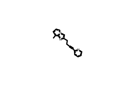 Cc1cccn2cc(CCC#Cc3ccccn3)nc12